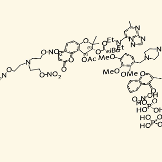 CCN(CC)c1cc(C)nc2ncnn12.CC[C@@H](C)C(=O)O[C@@H]1[C@H](OC(C)=O)c2c(ccc3ccc(=O)oc23)OC1(C)C.COc1ccc(CN2CCNCC2)c(OC)c1OC.Cc1coc2ccccc2c1=O.O=P(O)(O)O.O=P(O)(O)O.O=[N+]([O-])O.O=[N+]([O-])OCCN(CCO[N+](=O)[O-])CCO[N+](=O)[O-]